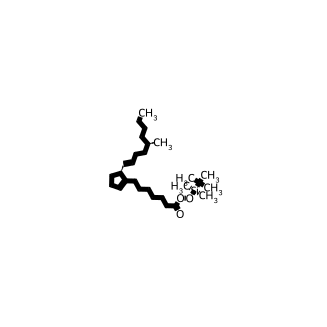 CCCC[C@H](C)CC/C=C/[C@H]1CCC=C1CCCCCCC(=O)OO[Si](C)(C)C(C)(C)C